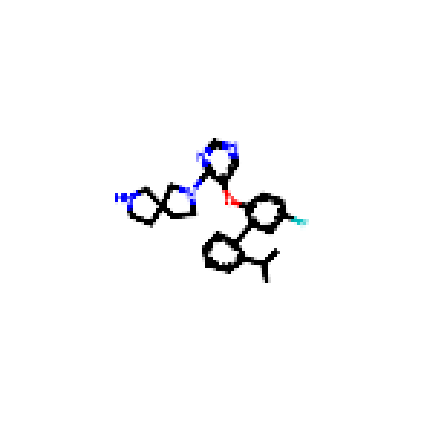 CC(C)c1ccccc1-c1cc(F)ccc1Oc1cncnc1N1CCC2(CCNC2)C1